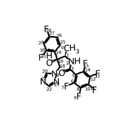 C[C@@H](NC(=O)c1c(F)c(F)c(F)c(F)c1F)C(O)(Cn1cncn1)c1ccc(F)cc1F